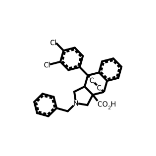 O=C(O)C12CN(Cc3ccccc3)CC1C1(c3ccc(Cl)c(Cl)c3)CCC2c2ccccc21